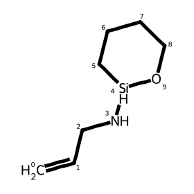 C=CCN[SiH]1CCCCO1